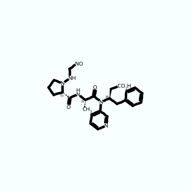 C[C@H](NC(=O)[C@@H]1CCCN1NCN=O)C(=O)N(c1cccnc1)[C@@H](CC(=O)O)Cc1ccccc1